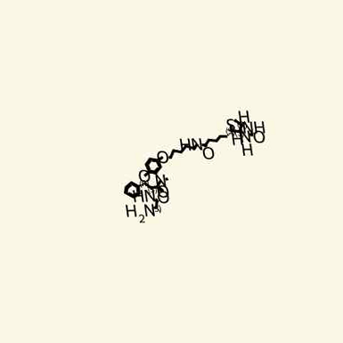 C[C@H](N)C(=O)N[C@@H]1C(=O)N(C)c2cc(OCCCCCNC(=O)CCCC[C@@H]3SC[C@@H]4NC(=O)N[C@@H]43)ccc2O[C@@H]1c1ccccc1